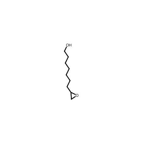 OCCCCCCCC1CO1